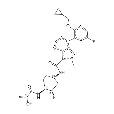 Cc1[nH]c2c(-c3cc(F)ccc3OCC3CC3)ncnc2c1C(=O)N[C@@H]1CC[C@H](NC(=O)[C@H](C)O)[C@H](F)C1